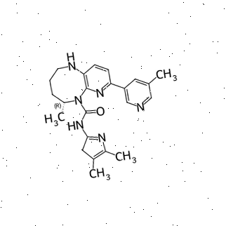 CC1=C(C)N=C(NC(=O)N2c3nc(-c4cncc(C)c4)ccc3NCCC[C@H]2C)C1